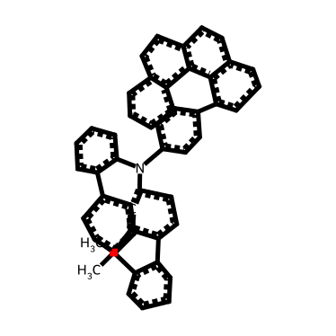 CC1(C)c2ccccc2-c2ccc(N(c3ccc(-c4cccc5ccc6ccc7ccccc7c6c45)cc3)c3ccccc3-c3ccccc3)cc21